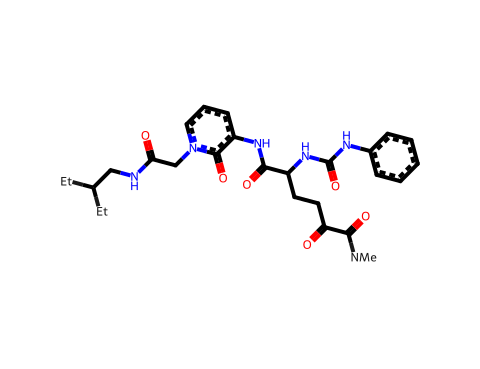 CCC(CC)CNC(=O)Cn1cccc(NC(=O)C(CCC(=O)C(=O)NC)NC(=O)Nc2ccccc2)c1=O